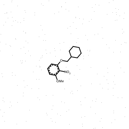 COc1cccc(OCC2CCCCC2)c1[N+](=O)[O-]